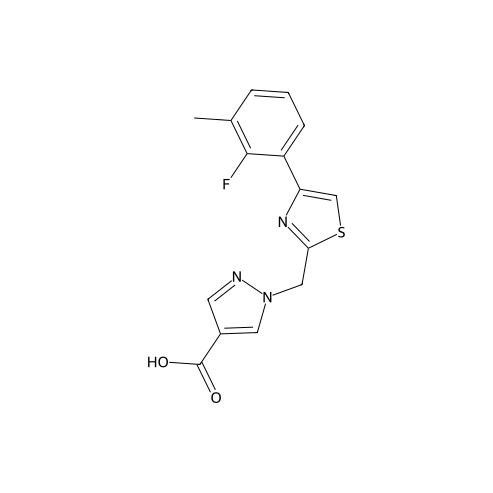 Cc1cccc(-c2csc(Cn3cc(C(=O)O)cn3)n2)c1F